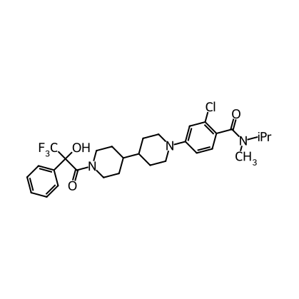 CC(C)N(C)C(=O)c1ccc(N2CCC(C3CCN(C(=O)C(O)(c4ccccc4)C(F)(F)F)CC3)CC2)cc1Cl